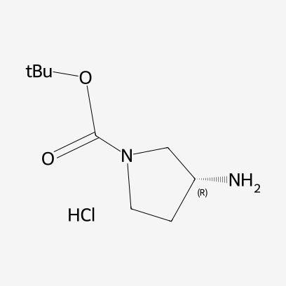 CC(C)(C)OC(=O)N1CC[C@@H](N)C1.Cl